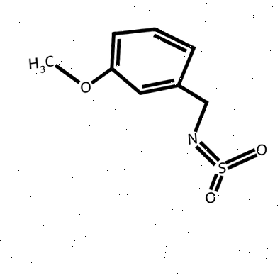 COc1cccc(CN=S(=O)=O)c1